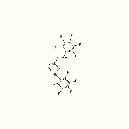 CC(C)[CH2][Al]([O]Bc1c(F)c(F)c(F)c(F)c1F)[O]Bc1c(F)c(F)c(F)c(F)c1F